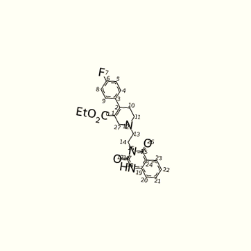 CCOC(=O)C1=C(c2ccc(F)cc2)CCN(CCn2c(=O)[nH]c3ccccc3c2=O)C1